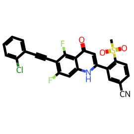 CS(=O)(=O)c1ccc(C#N)cc1-c1cc(=O)c2c(F)c(C#Cc3ccccc3Cl)c(F)cc2[nH]1